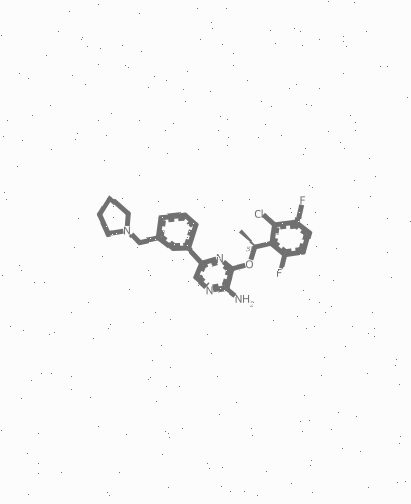 C[C@H](Oc1nc(-c2cccc([CH]N3CCCC3)c2)cnc1N)c1c(F)ccc(F)c1Cl